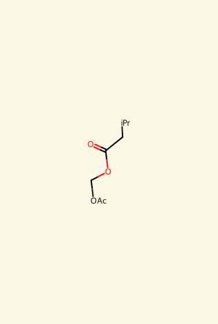 CC(=O)OCOC(=O)CC(C)C